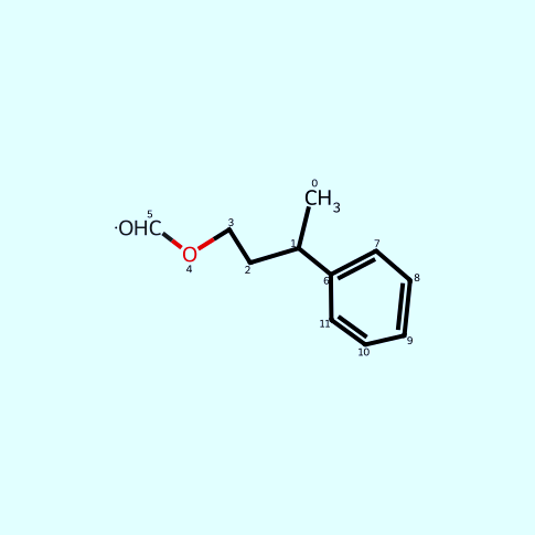 CC(CCO[C]=O)c1ccccc1